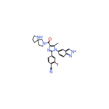 Cc1c(C(=O)N2CCC3(CCCN3)C2)nc(-c2ccc(C#N)c(I)c2)n1-c1ccc2nn(C)cc2c1